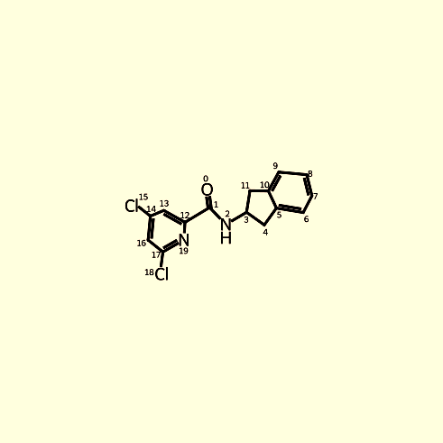 O=C(NC1Cc2ccccc2C1)c1cc(Cl)cc(Cl)n1